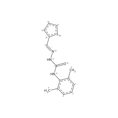 Cc1cccc(C)c1NC(=O)N/N=C/c1cccs1